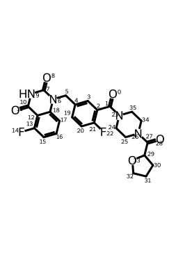 O=C(c1cc(Cn2c(=O)[nH]c(=O)c3c(F)cccc32)ccc1F)N1CCN(C(=O)C2CCCO2)CC1